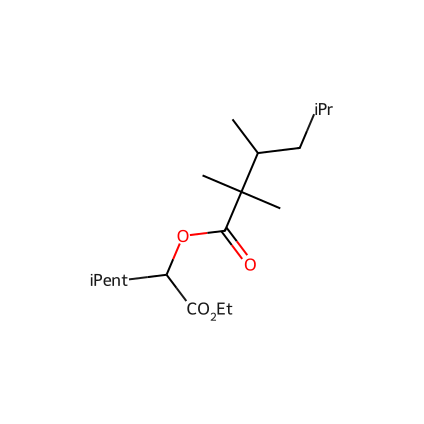 CCCC(C)C(OC(=O)C(C)(C)C(C)CC(C)C)C(=O)OCC